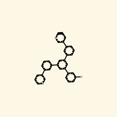 Clc1cccc(-c2cc(-c3cccc(-c4cc#cnc4)c3)cc(-c3cccc(-c4cccnc4)c3)c2)c1